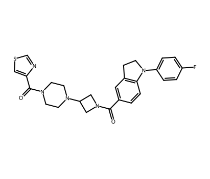 O=C(c1ccc2c(c1)CCN2c1ccc(F)cc1)N1CC(N2CCN(C(=O)c3cscn3)CC2)C1